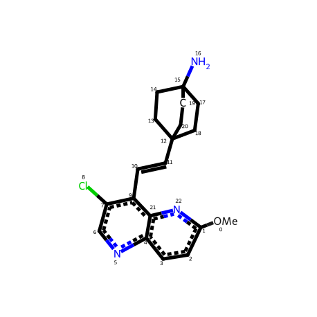 COc1ccc2ncc(Cl)c(C=CC34CCC(N)(CC3)CC4)c2n1